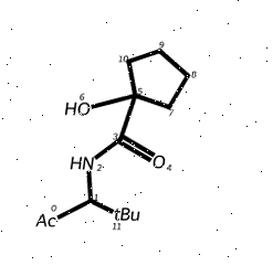 CC(=O)C(NC(=O)C1(O)CCCC1)C(C)(C)C